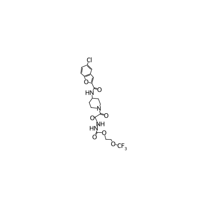 O=C(NNC(=O)C(=O)N1CCC(NC(=O)c2cc3cc(Cl)ccc3o2)CC1)OCCOC(F)(F)F